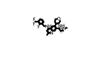 CN/C=C\C(=N)c1cc2nc(C)cc(NCc3cccc(C(F)F)c3F)c2cc1C1=CCOCC1